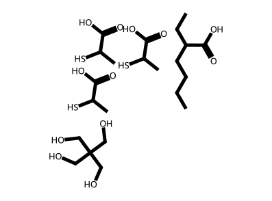 CC(S)C(=O)O.CC(S)C(=O)O.CC(S)C(=O)O.CCCCC(CC)C(=O)O.OCC(CO)(CO)CO